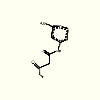 CC(=O)c1cccc(NC(=O)CC(=O)C(C)C)c1